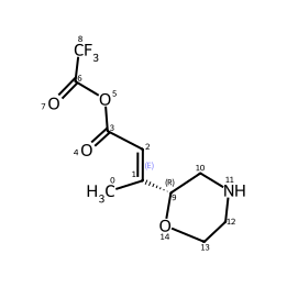 C/C(=C\C(=O)OC(=O)C(F)(F)F)[C@@H]1CNCCO1